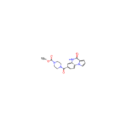 CC(C)(C)OC(=O)N1CCN(C(=O)c2ccc3c(c2)[nH]c(=O)c2cccn23)CC1